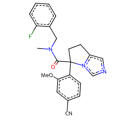 COc1cc(C#N)ccc1C1(C(=O)N(C)Cc2ccccc2F)CCc2cncn21